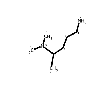 CC(CCCN)N(C)C